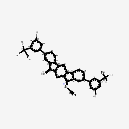 N#C/N=c1\c2cc(-c3cc(F)cc(C(F)(F)F)c3)ccc2c2cc3c(cc12)c(=N)c1cc(-c2cc(F)cc(C(F)(F)F)c2)ccc13